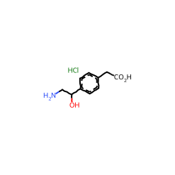 Cl.NCC(O)c1ccc(CC(=O)O)cc1